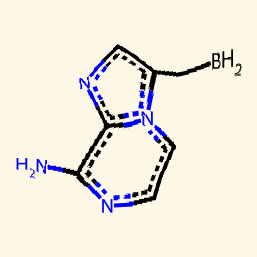 Bc1cnc2c(N)nccn12